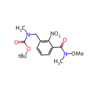 CON(C)C(=O)c1cccc(CN(C)C(=O)OC(C)(C)C)c1[N+](=O)[O-]